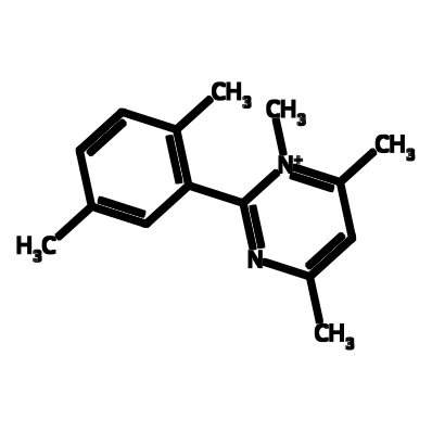 Cc1ccc(C)c(-c2nc(C)cc(C)[n+]2C)c1